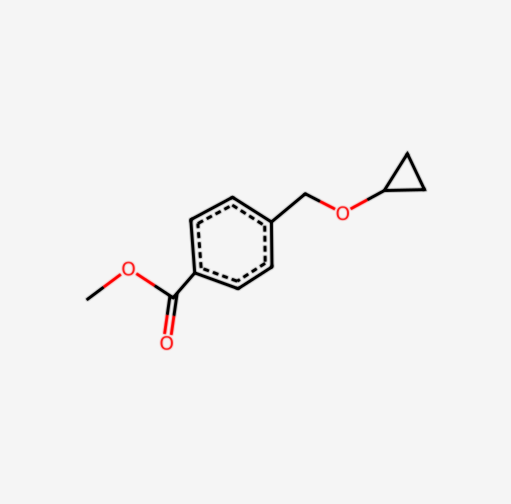 COC(=O)c1ccc(COC2CC2)cc1